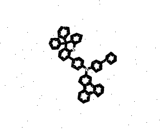 c1ccc(-c2ccc(N(c3ccc(-c4cccc5c4Sc4ccccc4C5(c4ccccc4)c4ccccc4)cc3)c3ccc4c5ccccc5c5ccccc5c4c3)cc2)cc1